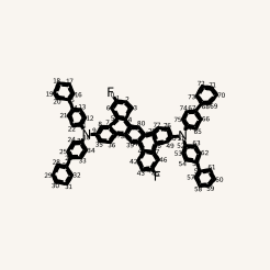 Fc1ccc2c(c1)c1cc(N(c3ccc(-c4ccccc4)cc3)c3ccc(-c4ccccc4)cc3)ccc1c1cc3c4ccc(F)cc4c4cc(N(c5ccc(-c6ccccc6)cc5)c5ccc(-c6ccccc6)cc5)ccc4c3cc21